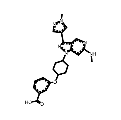 CNc1cc2c(cn1)c(-c1cnn(C)c1)nn2C1CCC(Oc2cccc(C(=O)O)c2)CC1